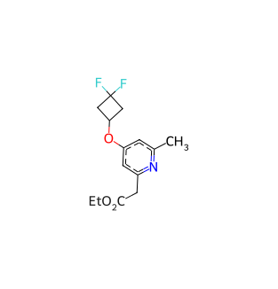 CCOC(=O)Cc1cc(OC2CC(F)(F)C2)cc(C)n1